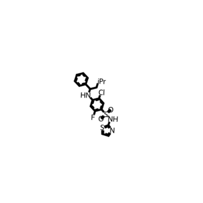 CC(C)CC(Nc1cc(F)c(S(=O)(=O)Nc2nccs2)cc1Cl)c1ccccc1